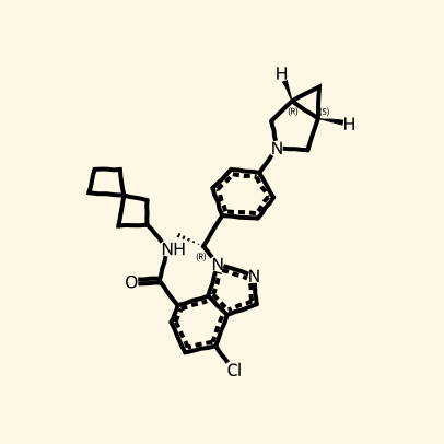 C[C@H](c1ccc(N2C[C@H]3C[C@H]3C2)cc1)n1ncc2c(Cl)ccc(C(=O)NC3CC4(CCC4)C3)c21